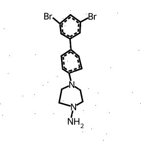 NN1CCN(c2ccc(-c3cc(Br)cc(Br)c3)cc2)CC1